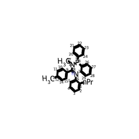 CCCc1ccccc1/N=C(\c1ccc(C)cc1)N(C)P(c1ccccc1)c1ccccc1